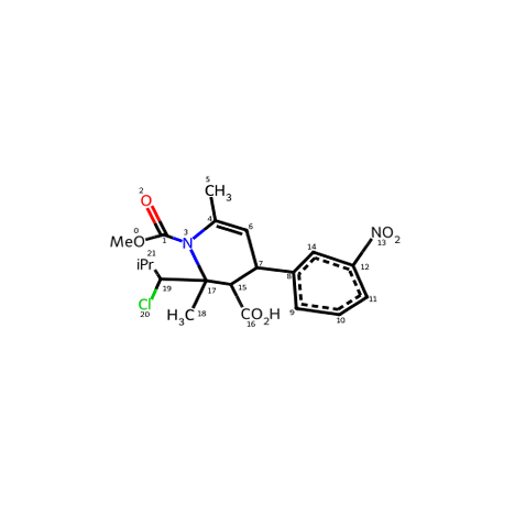 COC(=O)N1C(C)=CC(c2cccc([N+](=O)[O-])c2)C(C(=O)O)C1(C)C(Cl)C(C)C